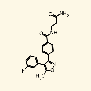 Cc1onc(-c2ccc(C(=O)NCCC(N)=O)cc2)c1-c1cccc(F)c1